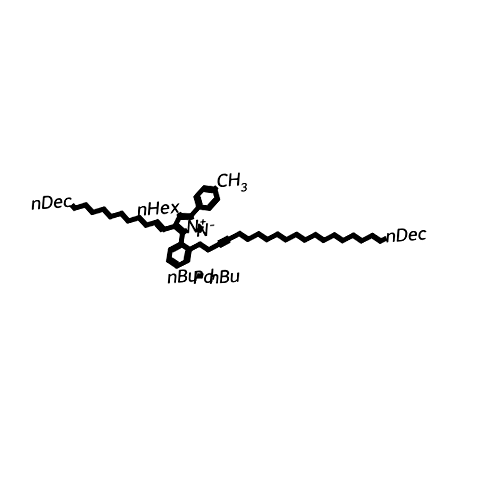 CCCCCCCCCCCCCCCCCCCC=CC1=C(c2ccccc2CCC#CCCCCCCCCCCCCCCCCCCCCCCCCCC)[N+](=[N-])C(c2ccc(C)cc2)=C1CCCCCC.CCC[CH2][Pd][CH2]CCC